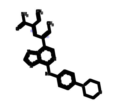 C=C/C(=C\C(=C/C)c1cnc(Nc2ccc(N3CCOCC3)cc2)c2ncnn12)C(N)=O